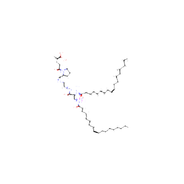 CCCCCCCC/C=C\CCCCCCCC(=O)NCC(NC(=O)CCCCCCC/C=C\CCCCCCCC)C(=O)NCC/N=C\C1CCCN1C(=O)CCC(C)C(=O)O